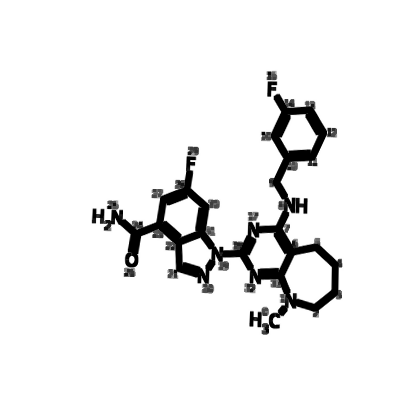 CN1CCCCc2c(NCc3cccc(F)c3)nc(-n3ncc4c(C(N)=O)cc(F)cc43)nc21